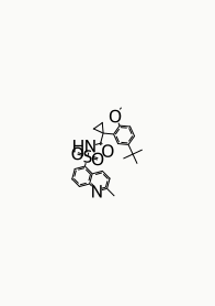 COc1ccc(C(C)(C)C)cc1C1(C(=O)NS(=O)(=O)c2cccc3nc(C)ccc23)CC1